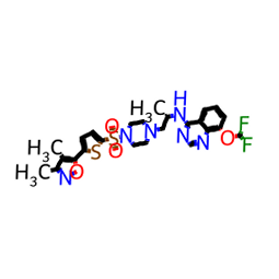 Cc1noc(-c2ccc(S(=O)(=O)N3CCN(C[C@H](C)Nc4ncnc5c(OC(F)F)cccc45)CC3)s2)c1C